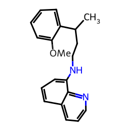 COc1ccccc1C(C)CCNc1cccc2cccnc12